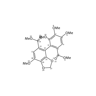 COC(=O)c1cc(OC)c(OC)c(OC)c1-c1c(C(=O)OC)cc(OC)c2c1OCO2